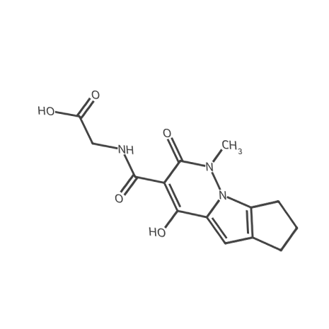 Cn1c(=O)c(C(=O)NCC(=O)O)c(O)c2cc3c(n21)CCC3